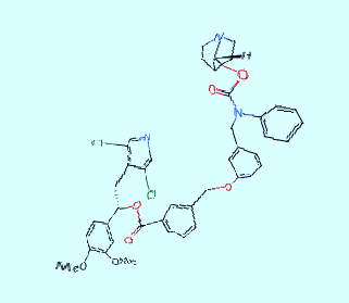 COc1ccc([C@H](Cc2c(Cl)cncc2Cl)OC(=O)c2cccc(COc3cccc(CN(C(=O)O[C@H]4CN5CCC4CC5)c4ccccc4)c3)c2)cc1OC